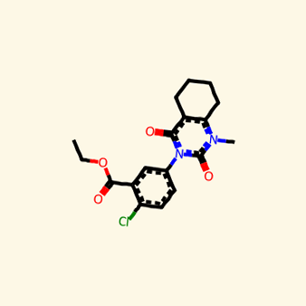 CCOC(=O)c1cc(-n2c(=O)c3c(n(C)c2=O)CCCC3)ccc1Cl